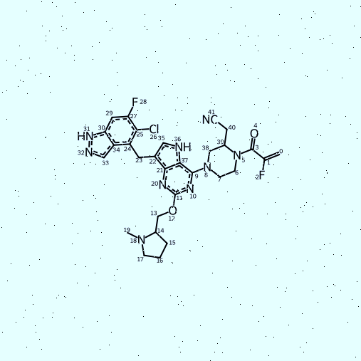 C=C(F)C(=O)N1CCN(c2nc(OCC3CCCN3C)nc3c(Cc4c(Cl)c(F)cc5[nH]ncc45)c[nH]c23)CC1CC#N